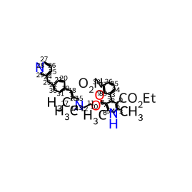 CCOC(=O)C1=C(C)NC(C)=C(C(=O)OCCN(C)C/C(C)=C/c2ccc(Cc3cccnc3)cc2)C1c1cccc([N+](=O)[O-])c1